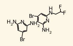 Nc1cc(Br)cc(N)n1.Nc1cc(Br)cc(NCC(F)F)n1